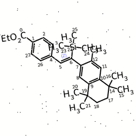 CCOC(=O)c1ccc(/C=C(/c2cc3c(cc2C)C(C)(C)CCC3(C)C)[Si](C)(C)C)cc1